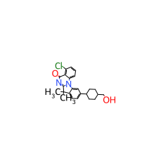 CC1(C)c2ccc(C3CCC(CO)CC3)cc2-n2c1nc(=O)c1c(Cl)cccc12